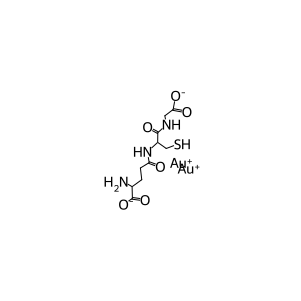 NC(CCC(=O)NC(CS)C(=O)NCC(=O)[O-])C(=O)[O-].[Au+].[Au+]